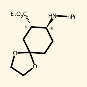 CCCN[C@H]1CCC2(C[C@@H]1C(=O)OCC)OCCO2